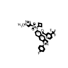 Cn1cc(S(=O)(=O)N(C2CCC2)[C@H]2CCC3=Cc4c(cnn4-c4ccc(F)cc4)C[C@]3(C(=O)c3cc(C(F)(F)F)ccn3)C2)nn1